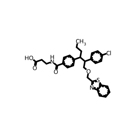 CCCC(c1ccc(C(=O)NCCC(=O)O)cc1)C(COCc1nc2ccccc2s1)c1ccc(Cl)cc1